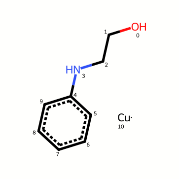 OCCNc1ccccc1.[Cu]